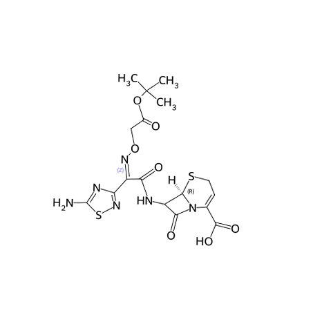 CC(C)(C)OC(=O)CO/N=C(\C(=O)NC1C(=O)N2C(C(=O)O)=CCS[C@H]12)c1nsc(N)n1